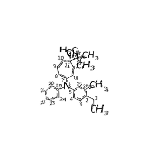 CCc1ccc(N(C2=CC=CC(C)(C(C)(C)C)C=C2)c2ccccc2)cc1C